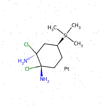 C[Si](C)(C)[C@H]1CC[C@](N)(Cl)[C@@](N)(Cl)C1.[Pt]